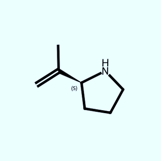 C=C(C)[C@@H]1CCCN1